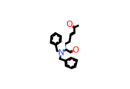 CC(=O)/C=C/CC[C@H](C=O)N(Cc1ccccc1)Cc1ccccc1